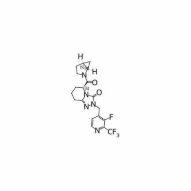 O=C([C@@H]1CCCc2nn(Cc3ccnc(C(F)(F)F)c3F)c(=O)n21)N1CC[C@H]2C[C@H]21